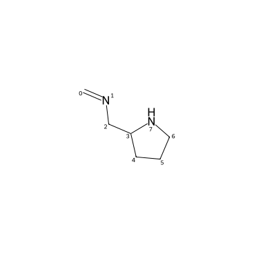 C=NCC1CCCN1